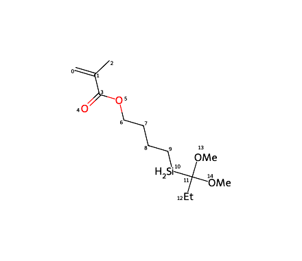 C=C(C)C(=O)OCCCC[SiH2]C(CC)(OC)OC